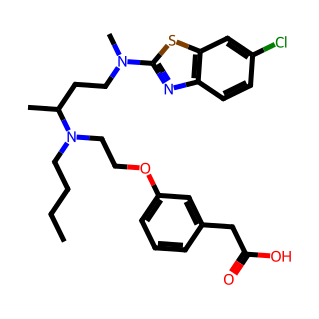 CCCCN(CCOc1cccc(CC(=O)O)c1)C(C)CCN(C)c1nc2ccc(Cl)cc2s1